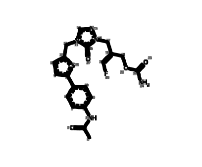 CC(=O)Nc1ccc(-c2ccc(Cn3cnn(CC(=CF)COC(N)=O)c3=O)s2)cc1